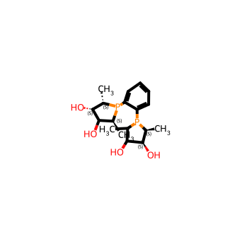 CC1C(O)[C@H](O)[C@H](C)P1c1ccccc1P1[C@@H](C)C(O)[C@H](O)[C@@H]1C